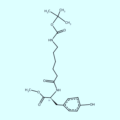 COC(=O)[C@H](Cc1ccc(O)cc1)NC(=O)CCCCCNC(=O)OC(C)(C)C